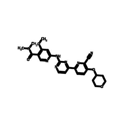 COc1cc(Nc2nccc(-c3ccc(OC4CCOCC4)c(C#N)n3)n2)ncc1C(=O)N(C)C